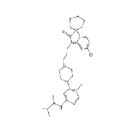 Cc1ccc(NC(=O)C(C)C)cc1C1CCN(CCCNC(=O)C2(c3ccc(Cl)cc3)CCCCC2)CC1